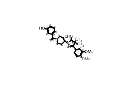 COc1ccc(C2=NN(C3CCN(C(=O)c4cccc(O)c4)CC3)C(C=O)C2(C)C)cc1OC